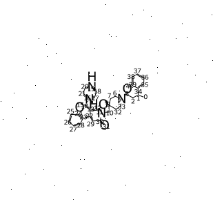 CC(CC(=O)N1CCC(O)(Cn2cc(C(=O)N3CCNCC3)c(-c3ccccc3)cc2=O)CC1)c1ccccc1